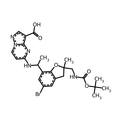 CC(Nc1ccn2ncc(C(=O)O)c2n1)c1cc(Br)cc2c1OC(C)(CNC(=O)OC(C)(C)C)C2